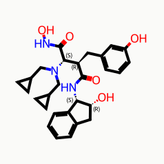 O=C(NO)[C@H]([C@@H](Cc1cccc(O)c1)C(=O)N[C@H]1c2ccccc2C[C@H]1O)N(CC1CC1)CC1CC1